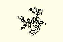 CC(OC(=O)OC1CCC2CCCCC2C1)OC(=O)C1=C(C=NNC(=N)N2CCNCC2)CSC2C(NC(=O)C(=NOCF)c3nsc(N)n3)C(=O)N12